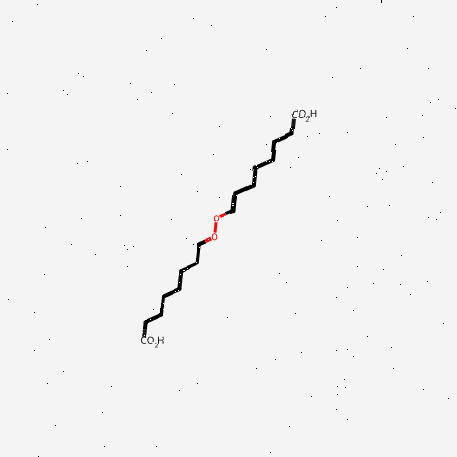 O=C(O)CCCCCCCOOCCCCCCCC(=O)O